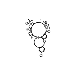 C[C@@H]1[C@@H](C)CCC[C@@](O)(CS(=O)(=O)N(C)C)[C@@H]2CC[C@H]2CN2CCCCc3cc(Cl)ccc3COc3ccc(cc32)C(=O)NS1(=O)=O